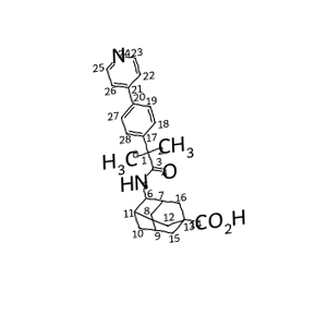 CC(C)(C(=O)NC1C2CC3CC1CC(C(=O)O)(C3)C2)c1ccc(-c2ccncc2)cc1